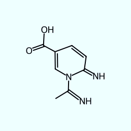 CC(=N)n1cc(C(=O)O)ccc1=N